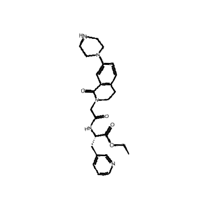 CCOC(=O)[C@H](Cc1cccnc1)NC(=O)CN1CCc2ccc(N3CCNCC3)cc2C1=O